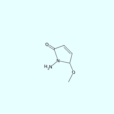 COC1C=CC(=O)N1N